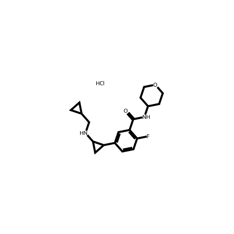 Cl.O=C(NC1CCOCC1)c1cc(C2CC2NCC2CC2)ccc1F